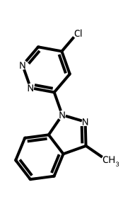 Cc1nn(-c2cc(Cl)cnn2)c2ccccc12